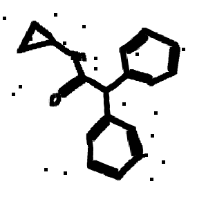 O=C(NC1CC1)C(c1ccccc1)c1ccccc1